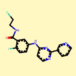 O=C(NCCF)c1cc(Nc2ccnc(-c3cccnc3)n2)ccc1F